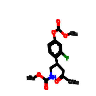 CCCCOC(=O)NCC(CC(=O)OC)c1ccc(OC(=O)OC(C)(C)C)cc1F